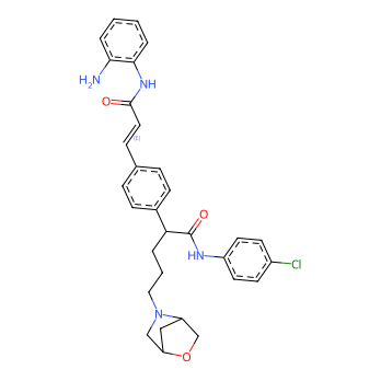 Nc1ccccc1NC(=O)/C=C/c1ccc(C(CCCN2CC3CC2CO3)C(=O)Nc2ccc(Cl)cc2)cc1